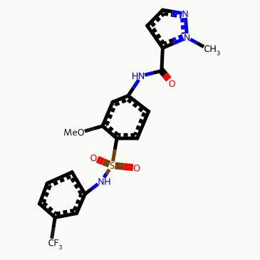 COc1cc(NC(=O)c2ccnn2C)ccc1S(=O)(=O)Nc1cccc(C(F)(F)F)c1